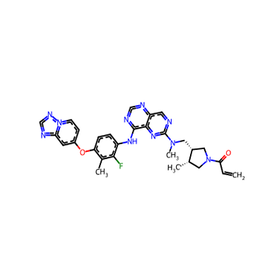 C=CC(=O)N1C[C@@H](CN(C)c2ncc3ncnc(Nc4ccc(Oc5ccn6ncnc6c5)c(C)c4F)c3n2)[C@@H](C)C1